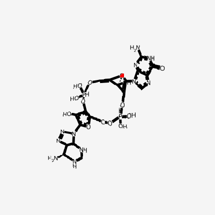 Nc1nc2c(ncn2C2=C3O[PH](O)(O)OCc4oc(N5N=NC6C5NCN[C@H]6N)c(O)c4O[PH](O)(O)O/C=C(/O2)[C@H]3O)c(=O)[nH]1